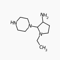 CCN1CCC(N)C1N1CCNCC1